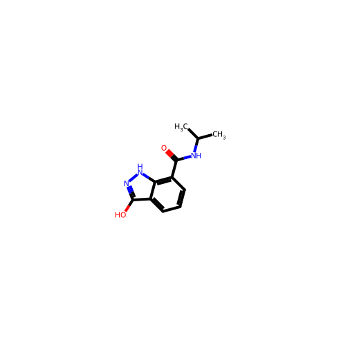 CC(C)NC(=O)c1cccc2c(O)n[nH]c12